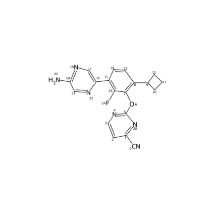 N#Cc1ccnc(Oc2c(C3CCC3)ccc(-c3cnc(N)cn3)c2F)n1